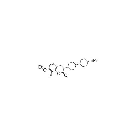 CCCC1CCC(C2CCC(C3Cc4ccc(OCC)c(F)c4OC3=O)CC2)CC1